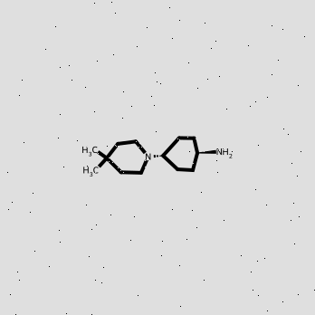 CC1(C)CCN([C@H]2CC[C@H](N)CC2)CC1